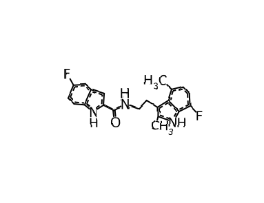 Cc1[nH]c2c(F)ccc(C)c2c1CCNC(=O)c1cc2cc(F)ccc2[nH]1